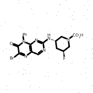 CC(C)n1c(=O)c(Br)nc2cnc(N[C@H]3C[C@H](F)CN(C(=O)O)C3)nc21